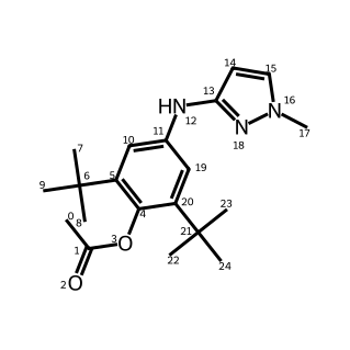 CC(=O)Oc1c(C(C)(C)C)cc(Nc2ccn(C)n2)cc1C(C)(C)C